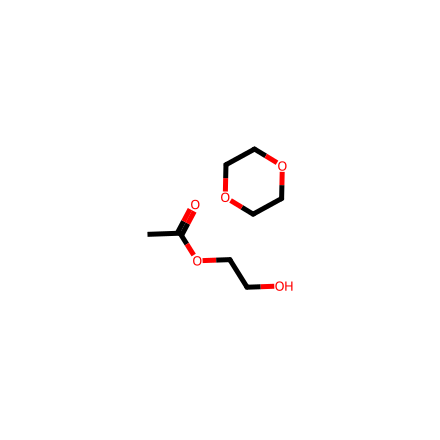 C1COCCO1.CC(=O)OCCO